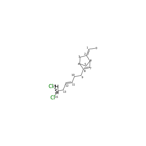 CC=C1CC2CC1C=C2CCC=CC[SiH](Cl)Cl